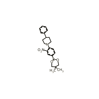 CC1(C)COB(c2ccc(N3CCC(c4ccccc4)CC3)c([N+](=O)[O-])c2)OC1